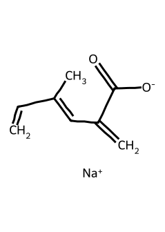 C=CC(C)=CC(=C)C(=O)[O-].[Na+]